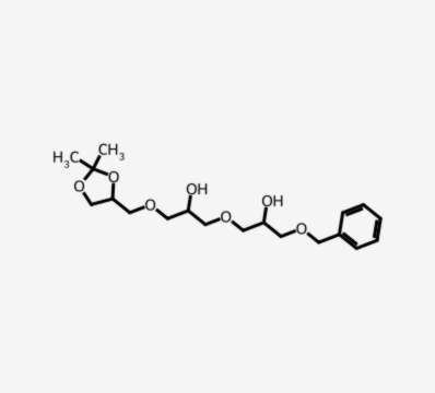 CC1(C)OCC(COCC(O)COCC(O)COCc2ccccc2)O1